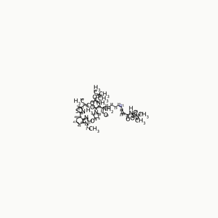 CCn1c(O[C@@H]2C[C@@H](C(N)=O)N(C(=O)[C@H](CCCCC/C=C\[C@@H]3C[C@@H]3C(=O)NS(=O)(=O)N(C)C)NC(=O)OC(C)(C)C)C2)nc2c1C=CCC2c1nc(C(C)C)cs1